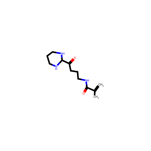 C=C(C)C(=O)NCCCC(=O)C1NCCCN1